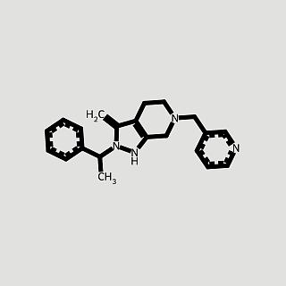 C=C1C2=C(CN(Cc3cccnc3)CC2)NN1C(C)c1ccccc1